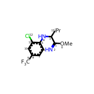 COC(=N)C(Nc1ccc(C(F)(F)F)cc1Cl)C(C)C